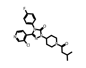 CC(C)CC(=O)N1CCC(n2nc(-c3ccncc3Cl)n(-c3ccc(F)cc3)c2=O)CC1